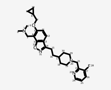 CN(C)Cc1c(OCC2CC2)ccc2c(CCC3CCN(Cc4ncccc4F)CC3)noc12